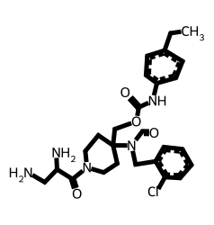 CCc1ccc(NC(=O)OCC2(N(C=O)Cc3ccccc3Cl)CCN(C(=O)C(N)CN)CC2)cc1